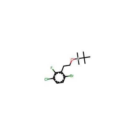 CC(C)(C)[Si](C)(C)OCCc1c(Br)ccc(Cl)c1F